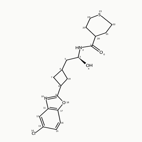 O=C(N[C@@H](O)CC1CC(c2nc3cc(Cl)ccc3o2)C1)C1CCSCC1